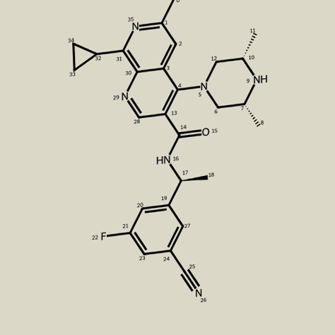 Cc1cc2c(N3C[C@@H](C)N[C@@H](C)C3)c(C(=O)N[C@@H](C)c3cc(F)cc(C#N)c3)cnc2c(C2CC2)n1